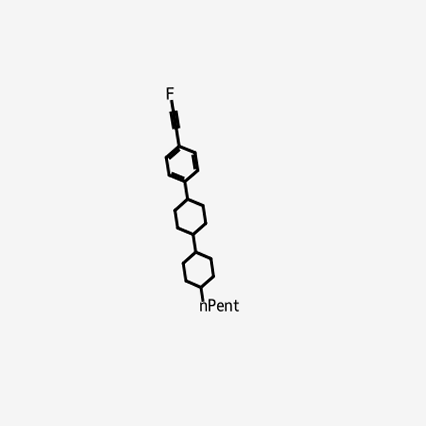 CCCCCC1CCC(C2CCC(c3ccc(C#CF)cc3)CC2)CC1